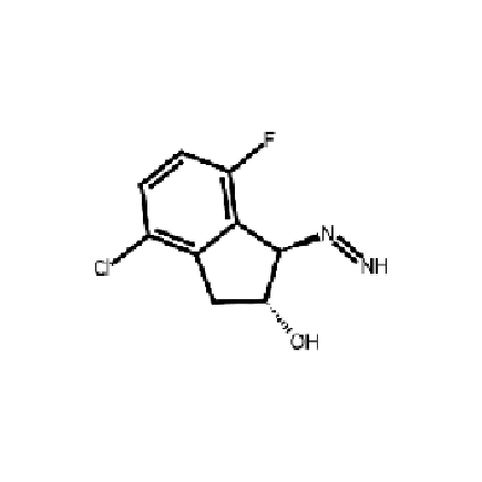 N=N[C@@H]1c2c(F)ccc(Cl)c2C[C@H]1O